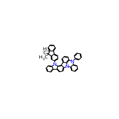 CC1(C)c2ccccc2-c2ccc(-n3c4ccccc4c4ccc5c(c6cccc7c6n5-c5ccccc5N7c5ccccc5)c43)cc21